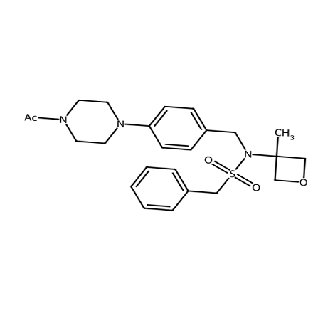 CC(=O)N1CCN(c2ccc(CN(C3(C)COC3)S(=O)(=O)Cc3ccccc3)cc2)CC1